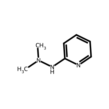 CN(C)Nc1ccccn1